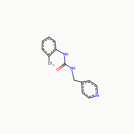 O=C(NCc1ccncc1)Nc1ccccc1C(F)(F)F